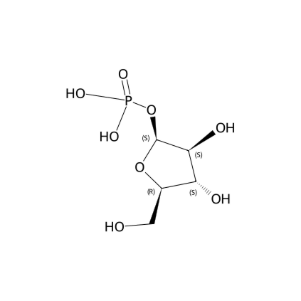 O=P(O)(O)O[C@@H]1O[C@H](CO)[C@@H](O)[C@@H]1O